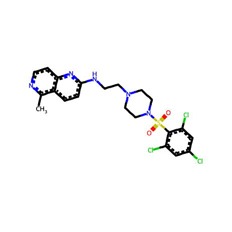 Cc1nccc2nc(NCCN3CCN(S(=O)(=O)c4c(Cl)cc(Cl)cc4Cl)CC3)ccc12